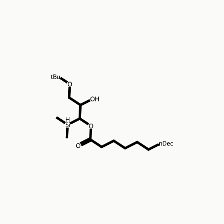 CCCCCCCCCCCCCCCC(=O)OC(C(O)COC(C)(C)C)[SiH](C)C